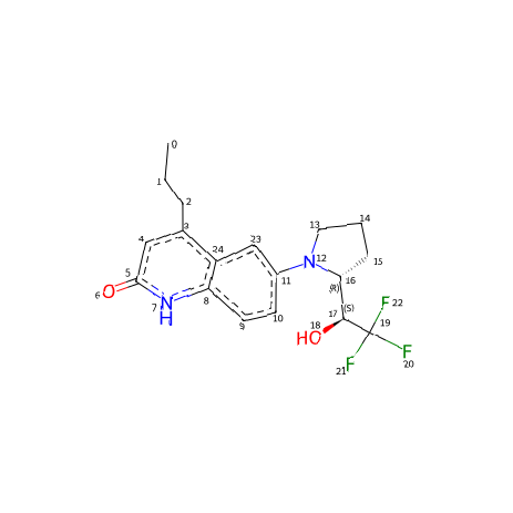 CCCc1cc(=O)[nH]c2ccc(N3CCC[C@@H]3[C@H](O)C(F)(F)F)cc12